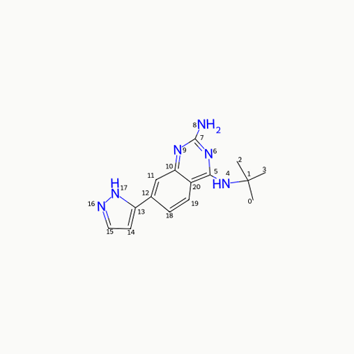 CC(C)(C)Nc1nc(N)nc2cc(-c3ccn[nH]3)ccc12